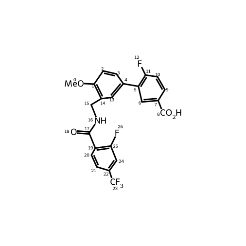 COc1ccc(-c2cc(C(=O)O)ccc2F)cc1CNC(=O)c1ccc(C(F)(F)F)cc1F